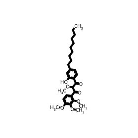 CCCCCCCCCCc1ccc(C(=O)C(OC)C(=O)c2ccc(OC)c(OC)c2OC)c(O)c1